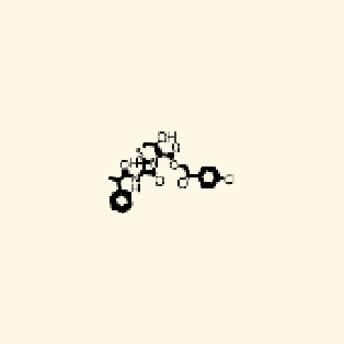 CC(C(=O)NC1C(=O)N2C(C(=O)OCC(=O)c3ccc(Cl)cc3)=C(O)CS[C@@H]12)c1ccccc1